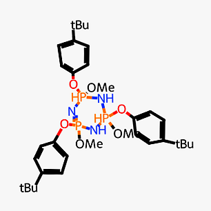 COP1(Oc2ccc(C(C)(C)C)cc2)=N[PH](OC)(Oc2ccc(C(C)(C)C)cc2)N[PH](OC)(Oc2ccc(C(C)(C)C)cc2)N1